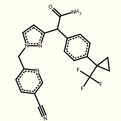 N#Cc1ccc(Cn2ccc(C(C(N)=O)c3ccc(C4(C(F)(F)F)CC4)cc3)n2)nc1